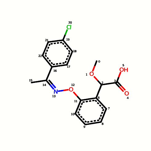 COC(C(=O)O)c1ccccc1ON=C(C)c1ccc(Cl)cc1